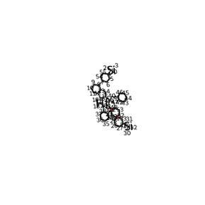 C[Si](C)(C)c1ccc(-c2cccc3c2C=C2[CH]3[Hf]([CH3])([CH3])[CH]3C(=Cc4c(-c5ccc([Si](C)(C)C)cc5)cccc43)C2(Cc2ccccc2)Cc2ccccc2)cc1